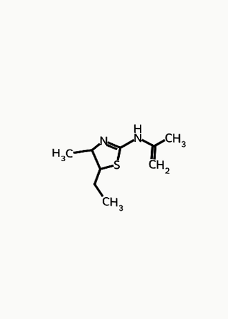 C=C(C)NC1=NC(C)C(CC)S1